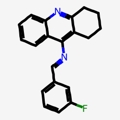 Fc1cccc(/C=N/c2c3c(nc4ccccc24)CCCC3)c1